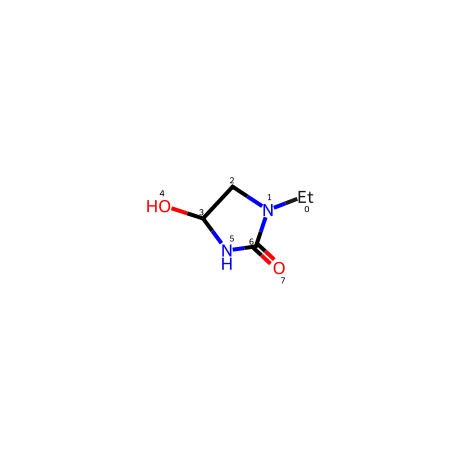 CCN1CC(O)NC1=O